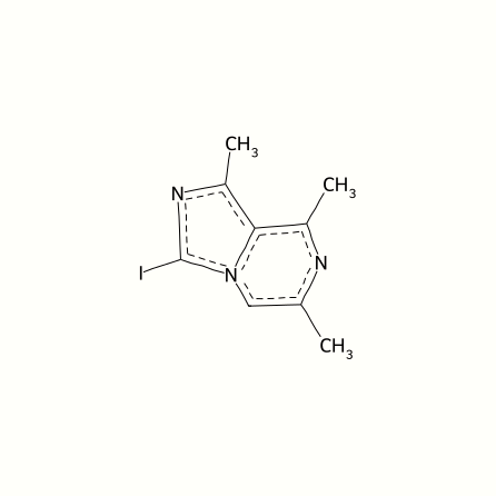 Cc1cn2c(I)nc(C)c2c(C)n1